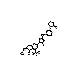 Cc1nc(Nc2ccnc(N3CCCC3=O)c2)sc1-c1cc2c(c(S(C)(=O)=O)c1)C(=O)N([C@@H](C)C1CC1)C2